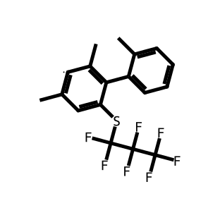 Cc1[c]c(C)c(-c2ccccc2C)c(SC(F)(F)C(F)(F)C(F)(F)F)c1